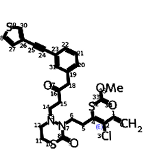 C=C/C(Cl)=C(/CCN1C(=O)SCCN1CCC(=O)Cc1cccc(C#Cc2ccsc2)c1)SC(=O)OC